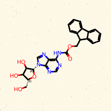 O=C(Nc1ncnc2c1ncn2[C@@H]1O[C@H](CO)C(O)C1O)OCC1c2ccccc2-c2ccccc21